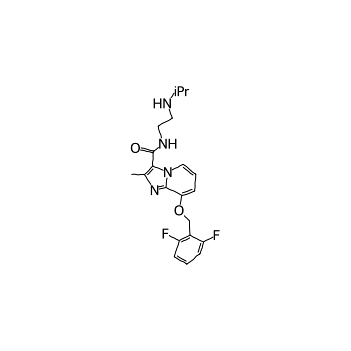 Cc1nc2c(OCc3c(F)cccc3F)cccn2c1C(=O)NCCNC(C)C